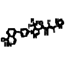 C/C(=C(/F)NC(=O)c1cnn(-c2ccc(-c3cccc4c(=O)[nH]ccc34)cc2)c1C(F)(F)F)n1nccn1